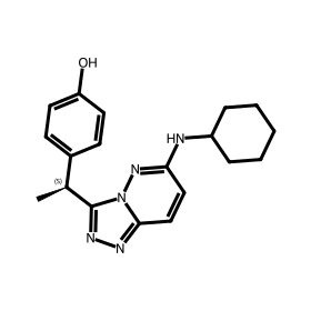 C[C@@H](c1ccc(O)cc1)c1nnc2ccc(NC3CCCCC3)nn12